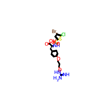 N=C(N)NOCCCOc1ccc(C[C@H](NS(=O)(=O)c2cc(Br)c(Cl)s2)C(=O)O)cc1